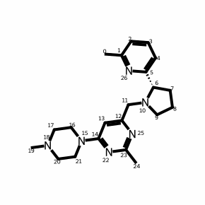 Cc1cccc([C@@H]2CCCN2Cc2cc(N3CCN(C)CC3)nc(C)n2)n1